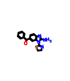 Nc1nc2ccc(C(=O)c3ccccc3)cc2n1C1=NCCS1